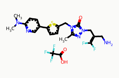 Cc1nn(CC(CN)=C(F)F)c(=O)n1Cc1ccc(-c2ccc(N(C)C)nc2)s1.O=C(O)C(F)(F)F